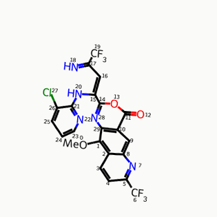 COc1c2ccc(C(F)(F)F)nc2cc2c(=O)oc(/C(=C/C(=N)C(F)(F)F)Nc3ncccc3Cl)nc12